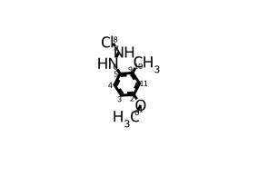 COc1ccc(NNCl)c(C)c1